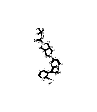 COc1ncccc1-c1cnn2ccc(N3CC4CN(C(=O)OC(C)(C)C)CC4C3)nc12